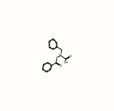 O=C(S[C@@H](Cc1ccccc1)C(=O)O)c1ccccc1